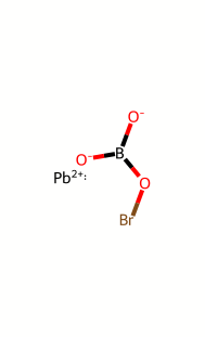 [O-]B([O-])OBr.[Pb+2]